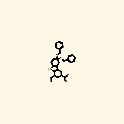 CCC1CC(C(=O)O)Cc2c1[nH]c1c2CC(OCc2ccccc2)(OCc2ccccc2)C=C1